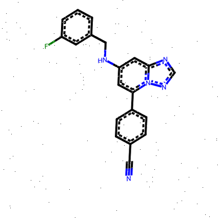 N#Cc1ccc(-c2cc(NCc3cccc(F)c3)cc3ncnn23)cc1